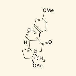 C=CC1[C@@H](c2ccc(OC)cc2)C(=O)C[C@]2(C)[C@@H](OC(C)=O)CC[C@@H]12